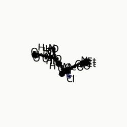 CCN1C(=O)c2cc(OC)c(OCCCCCC(=O)N3CC(/C=C/Cl)c4c3cc(OCc3ccc(NC(=O)[C@H](CCCNC(N)=O)NC(=O)CNC(=O)CCCCCN5C(=O)C=CC5=O)cc3)c3ccccc43)cc2N=C[C@]1(C)CC